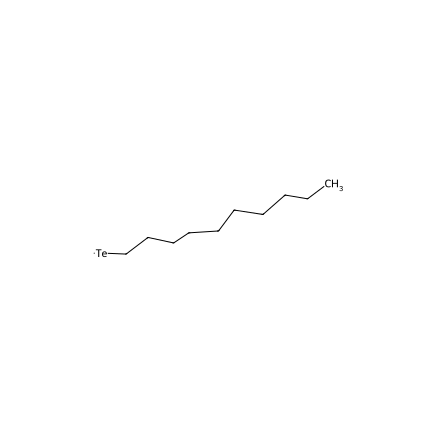 CCCCCCCCCC[Te]